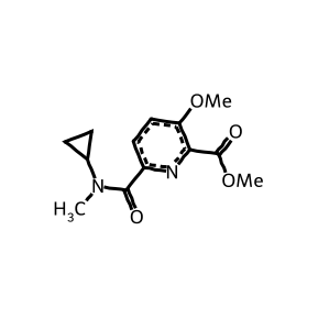 COC(=O)c1nc(C(=O)N(C)C2CC2)ccc1OC